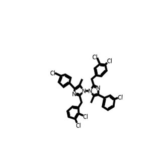 Cc1c(-c2cccc(Cl)c2)nc(Cc2ccc(Cl)c(Cl)c2)n1-n1c(Cc2cccc(Cl)c2Cl)nc(-c2ccc(Cl)cc2)c1C